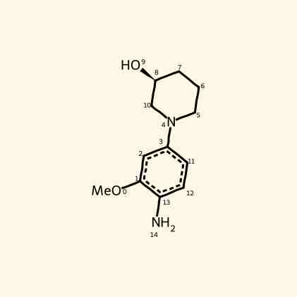 COc1cc(N2CCC[C@H](O)C2)ccc1N